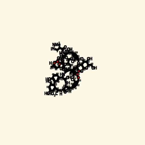 CN[C@H](CC(C)C)C(=O)N[C@@H]1C(=O)NC(CC(N)=O)C(=O)NC2C(=O)NC3C(=O)N[C@H](C(=O)NC(C(=O)O)c4cc(O)cc(O)c4-c4cc3ccc4O)[C@H](O)c3ccc(c(Cl)c3)Oc3cc2cc(c3OC2OC(CO)C(O)C(O)C2OC2CC(C)(NCC(OCc3ccc(C)cc3)C(=O)OC)C(O)C(C)O2)Oc2ccc(cc2Cl)C1O